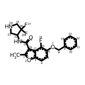 Cc1oc2ccc(OCc3ccccc3)c(F)c2c1C(=O)NC1CNCC1(F)F